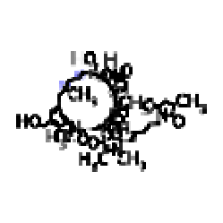 C/C1=C\C=C\[C@@H](CO)[C@@]2(O)C[C@H](OC(=O)N2)[C@@H](C)[C@@H]2O[C@@]2(C)[C@@H](OC(=O)[C@H](C)N(C)C(=O)CCCCCN2C(=O)CC(C)C2=O)CC(=O)N(C)c2cc(cc(CO)c2Cl)C1